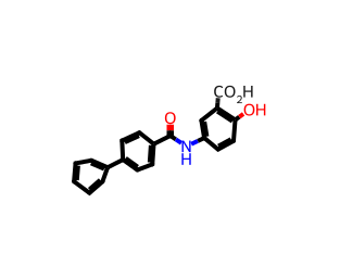 O=C(Nc1ccc(O)c(C(=O)O)c1)c1ccc(-c2ccccc2)cc1